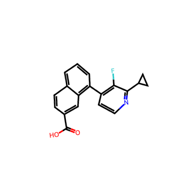 O=C(O)c1ccc2cccc(-c3ccnc(C4CC4)c3F)c2c1